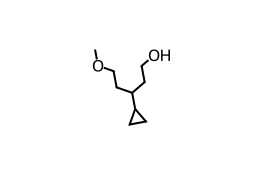 COCCC(CCO)C1CC1